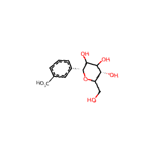 O=C(O)c1cccc([C@H]2OC(CO)[C@@H](O)C(O)C2O)c1